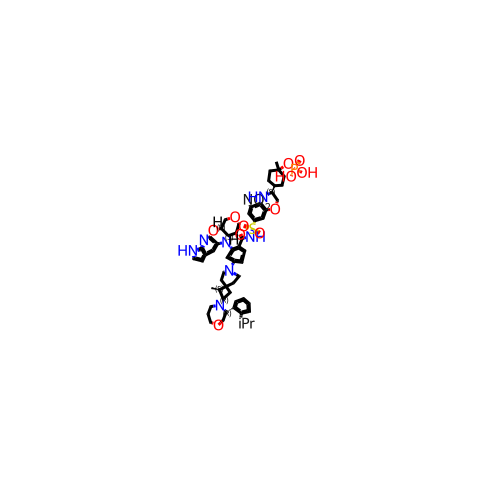 CC(C)c1ccccc1[C@@H]1COCCCN1[C@@H]1CC2(CCN(c3ccc(C(=O)NS(=O)(=O)c4cc5c(c([N+](=O)[O-])c4)N[C@@H](C4CCC(C)(OP(=O)(O)O)CC4)CO5)c(N4c5cc6cc[nH]c6nc5O[C@H]5COCC[C@@H]54)c3)CC2)[C@@H]1C